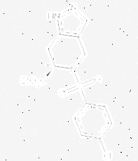 CCOC(=O)[C@H]1Cc2[nH]ncc2CN1S(=O)(=O)c1ccc(Cl)cc1